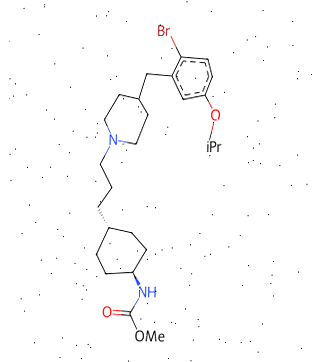 COC(=O)N[C@H]1CC[C@H](CCCN2CCC(Cc3cc(OC(C)C)ccc3Br)CC2)CC1